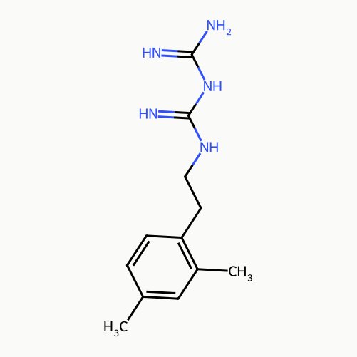 Cc1ccc(CCNC(=N)NC(=N)N)c(C)c1